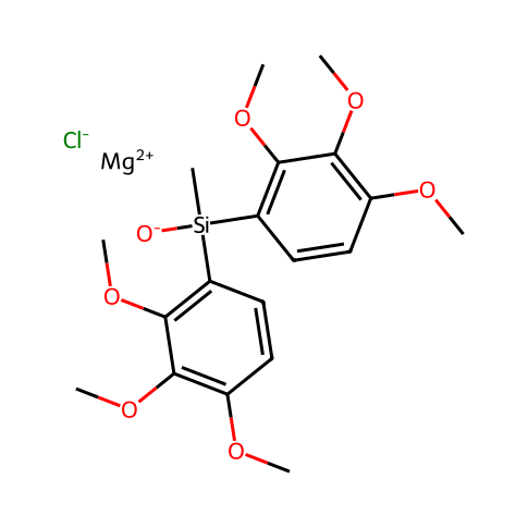 COc1ccc([Si](C)([O-])c2ccc(OC)c(OC)c2OC)c(OC)c1OC.[Cl-].[Mg+2]